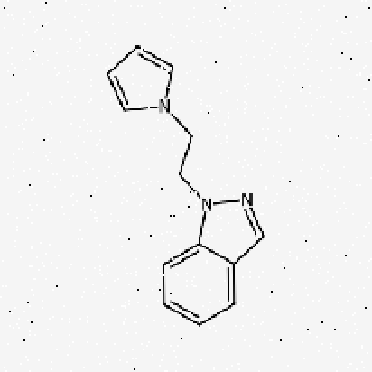 c1ccc2c(c1)cnn2CCn1cccc1